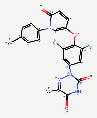 Cc1ccc(-n2cc(Oc3c(Cl)cc(-n4nc(C#N)c(=O)[nH]c4=O)cc3Cl)ccc2=O)cc1